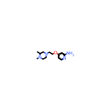 CC1CN(CCOc2ccnc(N)c2)CCN1C